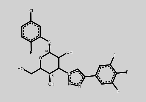 OCC1O[C@@H](Sc2cc(Cl)ccc2F)C(O)C(n2cc(-c3cc(F)c(F)c(F)c3)nn2)[C@H]1O